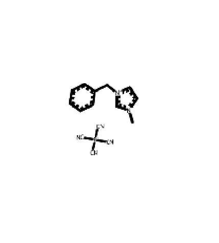 Cn1cc[n+](Cc2ccccc2)c1.N#C[B-](C#N)(C#N)C#N